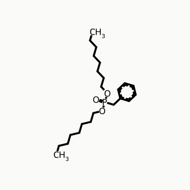 CCCCCCCCOP(=O)(Cc1ccccc1)OCCCCCCCC